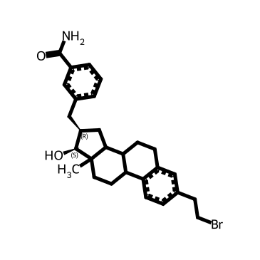 CC12CCC3c4ccc(CCBr)cc4CCC3C1C[C@H](Cc1cccc(C(N)=O)c1)[C@@H]2O